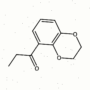 CCC(=O)c1cccc2c1OCCO2